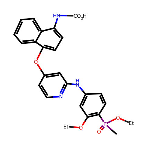 CCOc1cc(Nc2cc(Oc3ccc(NC(=O)O)c4ccccc34)ccn2)ccc1P(C)(=O)OCC